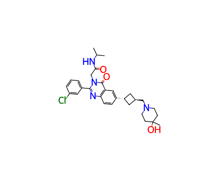 CC(C)NC(=O)Cn1c(-c2cccc(Cl)c2)nc2ccc([C@H]3C[C@H](CN4CCC(C)(O)CC4)C3)cc2c1=O